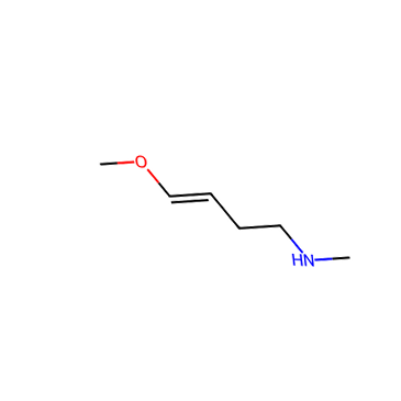 CNCCC=COC